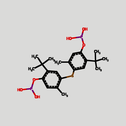 Cc1cc(OP(O)O)c(C(C)(C)C)cc1Sc1cc(C(C)(C)C)c(OP(O)O)cc1C